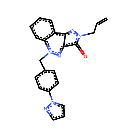 C=CCn1nc2c3ccccc3n(Cc3ccc(-n4cccn4)cc3)nc-2c1=O